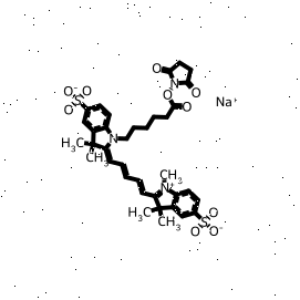 C[N+]1=C(C=CC=CC=C2N(CCCCCC(=O)ON3C(=O)CCC3=O)c3ccc(S(=O)(=O)[O-])cc3C2(C)C)C(C)(C)c2cc(S(=O)(=O)[O-])ccc21.[Na+]